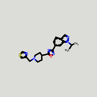 CC(C)n1ncc2ccc(-c3noc(C4CCN(Cc5cscn5)CC4)n3)cc21